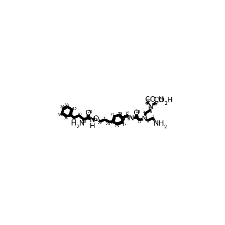 NCCN(CCN(CC(=O)O)CC(=O)O)CC(=O)NCc1ccc(CCCONC(=O)[C@H](N)CCc2ccccc2)cc1